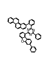 c1ccc(-c2ccc3c(c2)oc2cccc(-c4nc(-c5ccccc5)nc(-c5ccccc5-c5ccc6ccc7c8ccccc8ccc7c6c5)n4)c23)cc1